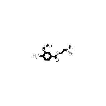 CCCCOc1cc(C(=O)SCCN(CC)CC)ccc1N